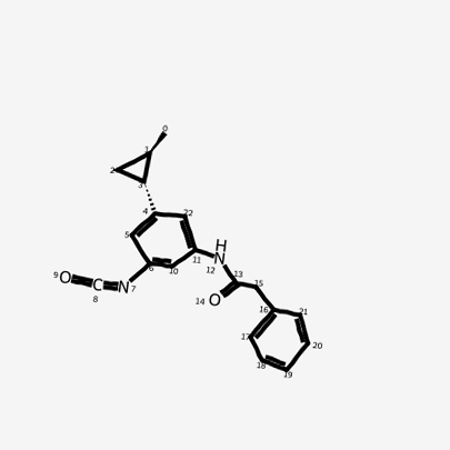 C[C@@H]1C[C@H]1c1cc(N=C=O)cc(NC(=O)Cc2ccccc2)c1